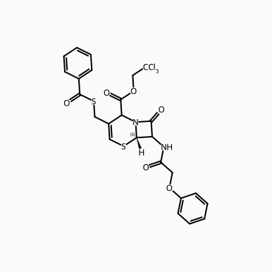 O=C(COc1ccccc1)NC1C(=O)N2C(C(=O)OCC(Cl)(Cl)Cl)C(CSC(=O)c3ccccc3)=CS[C@@H]12